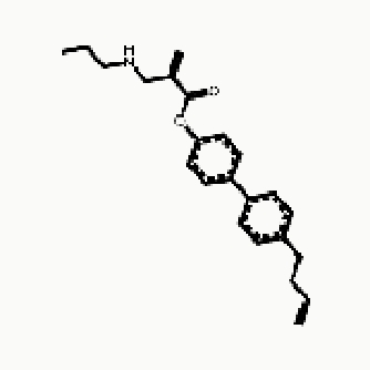 C=CCCc1ccc(-c2ccc(OC(=O)C(=C)CNCCC)cc2)cc1